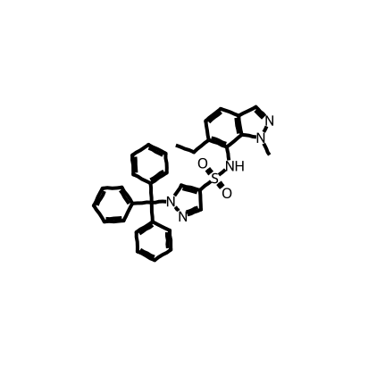 CCc1ccc2cnn(C)c2c1NS(=O)(=O)c1cnn(C(c2ccccc2)(c2ccccc2)c2ccccc2)c1